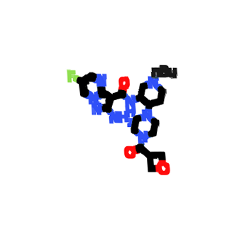 CCCCN1CCC(N2CCN(C(=O)C3COC3)CC2)C(NC(=O)c2c(N)nn3cc(F)cnc23)C1